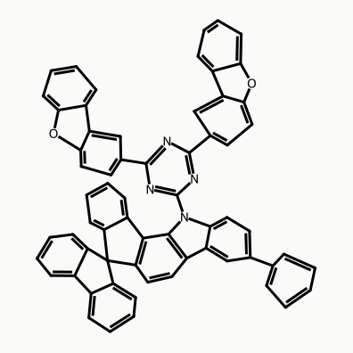 c1ccc(-c2ccc3c(c2)c2ccc4c(c2n3-c2nc(-c3ccc5oc6ccccc6c5c3)nc(-c3ccc5oc6ccccc6c5c3)n2)-c2ccccc2C42c3ccccc3-c3ccccc32)cc1